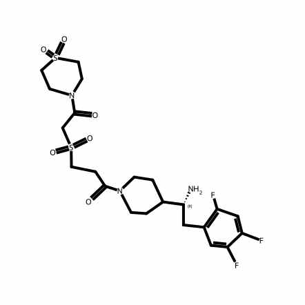 N[C@H](Cc1cc(F)c(F)cc1F)C1CCN(C(=O)CCS(=O)(=O)CC(=O)N2CCS(=O)(=O)CC2)CC1